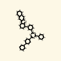 c1ccc(-c2ccc(-c3nc(-c4ccccc4)nc(-c4cccc(-c5cccc6c5oc5cc7ccccc7cc56)c4)n3)cc2)cc1